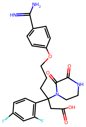 N=C(N)c1ccc(OCCCC(CC(=O)O)(c2ccc(F)cc2F)N2CCNC(=O)C2=O)cc1